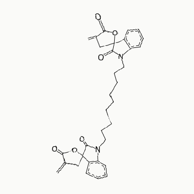 C=C1CC2(OC1=O)C(=O)N(CCCCCCCCCN1C(=O)C3(CC(=C)C(=O)O3)c3ccccc31)c1ccccc12